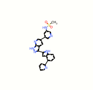 CS(=O)(=O)Nc1cncc(-c2cnc3[nH]nc(-c4cc5c(-c6ccccn6)cccc5[nH]4)c3c2)c1